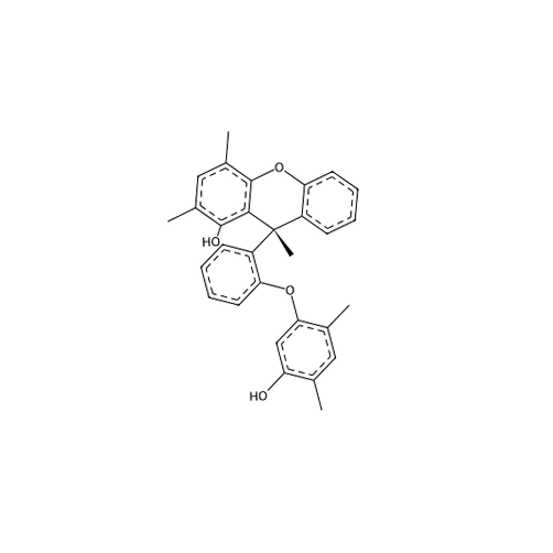 Cc1cc(C)c(Oc2ccccc2[C@@]2(C)c3ccccc3Oc3c(C)cc(C)c(O)c32)cc1O